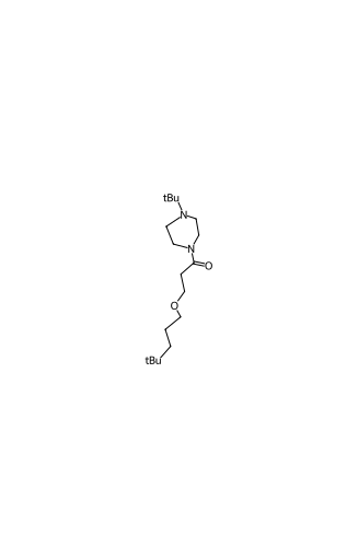 CC(C)(C)CCCOCCC(=O)N1CCN(C(C)(C)C)CC1